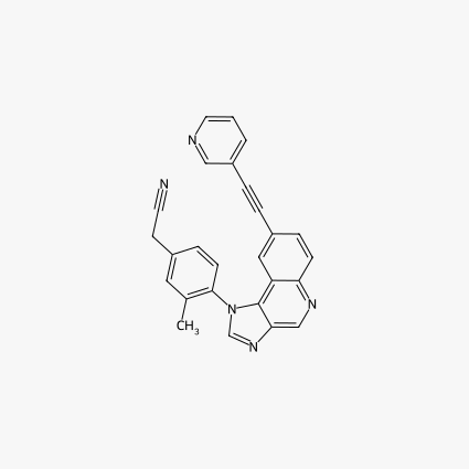 Cc1cc(CC#N)ccc1-n1cnc2cnc3ccc(C#Cc4cccnc4)cc3c21